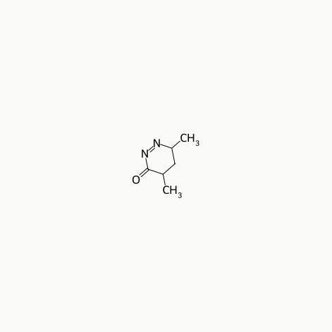 CC1CC(C)C(=O)N=N1